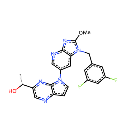 COc1nc2ncc(-n3ccc4ncc([C@@H](C)O)nc43)cc2n1Cc1cc(F)cc(F)c1